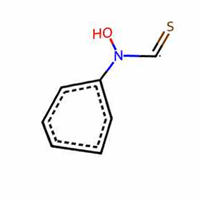 ON([C]=S)c1ccccc1